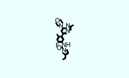 CCC1=CCN(C(=O)Nc2cc(-c3cc(N4CCOCC4)c4nc(C)cn4c3)c(C)cc2F)C1